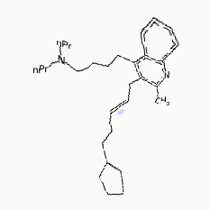 CCCN(CCC)CCCCc1c(C/C=C/CCC2CCCC2)c(C)nc2ccccc12